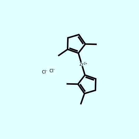 CC1=CCC(C)=[C]1[Zr+2][C]1=CCC(C)=C1C.[Cl-].[Cl-]